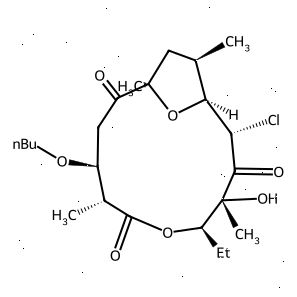 CCCCO[C@H]1CC(=O)[C@@]2(C)C[C@@H](C)[C@H](O2)[C@H](Cl)C(=O)[C@](C)(O)[C@@H](CC)OC(=O)[C@@H]1C